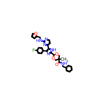 CC1(C(=O)NCc2ccccc2)COC(c2nc(-c3ccc(F)cc3)c(-c3ccnc(NCc4ccco4)n3)[nH]2)OC1